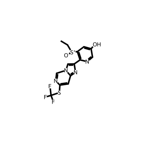 CC[S+]([O-])c1cc(O)cnc1-c1cn2cnc(SC(F)(F)F)cc2n1